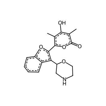 Cc1c(-c2oc3ccccc3c2C2CNCCO2)oc(=O)c(C)c1O